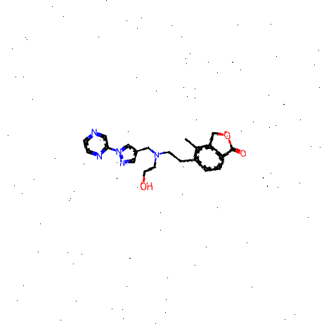 Cc1c(CCN(CCO)Cc2cnn(-c3cnccn3)c2)ccc2c1COC2=O